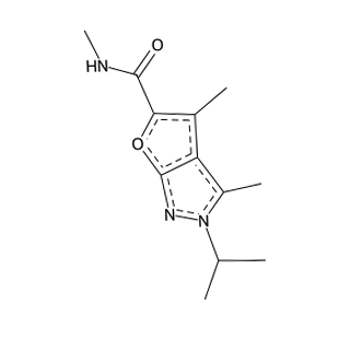 CNC(=O)c1oc2nn(C(C)C)c(C)c2c1C